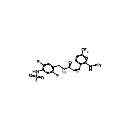 CCCNc1nc(C(F)(F)F)ccc1/C=C\C(=O)NCc1cc(F)c(NS(C)(=O)=O)cc1F